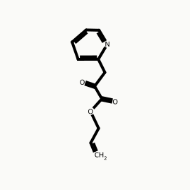 C=CCOC(=O)C(=O)Cc1ccccn1